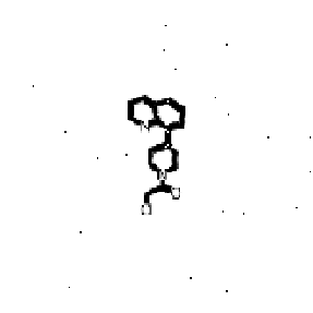 O=C(CCl)N1CC=C(c2cccc3cccnc23)CC1